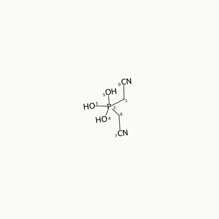 N#CCP(O)(O)(O)CC#N